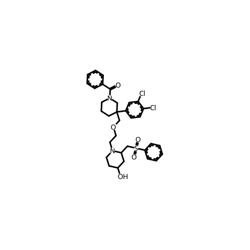 O=C(c1ccccc1)N1CCCC(COCCN2CCC(O)CC2CS(=O)(=O)c2ccccc2)(c2ccc(Cl)c(Cl)c2)C1